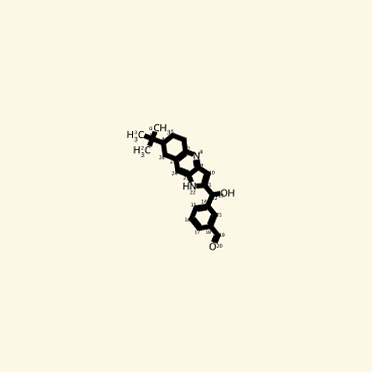 CC(C)(C)C1CCc2nc3cc(C(O)c4cccc(C=O)c4)[nH]c3cc2C1